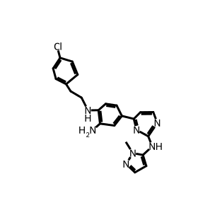 Cn1nccc1Nc1nccc(-c2ccc(NCCc3ccc(Cl)cc3)c(N)c2)n1